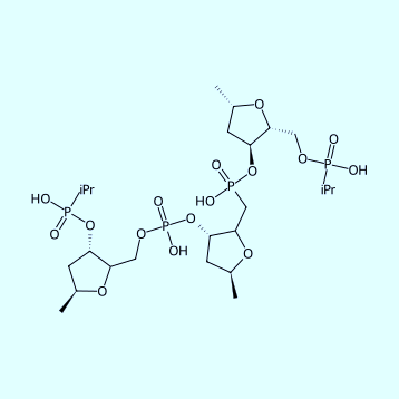 CC(C)P(=O)(O)OC[C@H]1O[C@@H](C)C[C@@H]1OP(=O)(O)CC1O[C@@H](C)C[C@@H]1OP(=O)(O)OCC1O[C@@H](C)C[C@@H]1OP(=O)(O)C(C)C